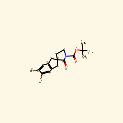 CC(C)(C)OC(=O)N1CCC2(Cc3cc(Br)c(Br)cc3C2)C1=O